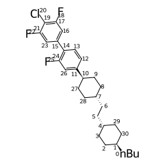 CCCC[C@H]1CC[C@H](CC[C@H]2CC[C@H](c3ccc(-c4cc(F)c(Cl)c(F)c4)c(F)c3)CC2)CC1